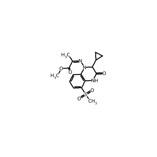 COC(=O)/C(C)=N\N1c2cccc(S(C)(=O)=O)c2NC(=O)C1C1CC1